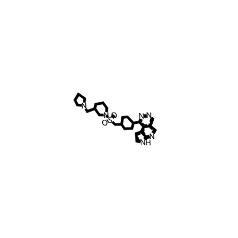 O=S(=O)(CC1CCC(c2nncc3cnc4[nH]ccc4c23)CC1)N1CCCC(CN2CCCC2)C1